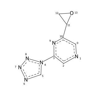 c1ncc(-n2cnnn2)nc1C1CO1